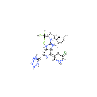 C[C@H]1CC[C@H](Cn2c(N3CCCC3C(F)(F)F)nc3cc(-c4nnn[nH]4)nc(-c4cncc(Cl)c4)c32)CC1